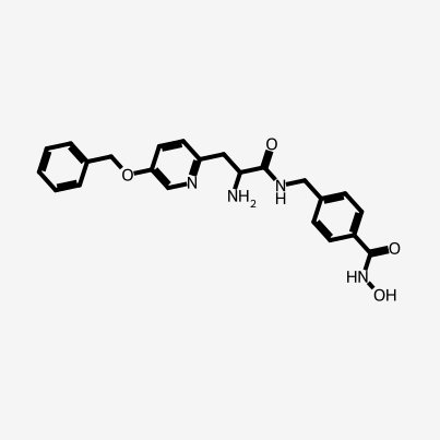 NC(Cc1ccc(OCc2ccccc2)cn1)C(=O)NCc1ccc(C(=O)NO)cc1